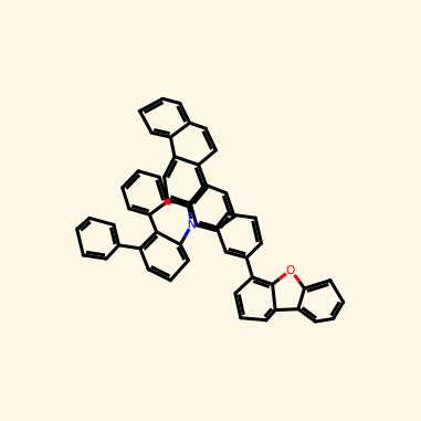 c1ccc(-c2ccccc2-c2c(-c3ccccc3)cccc2N(c2cccc(-c3cccc4c3oc3ccccc34)c2)c2ccc3c(ccc4ccccc43)c2)cc1